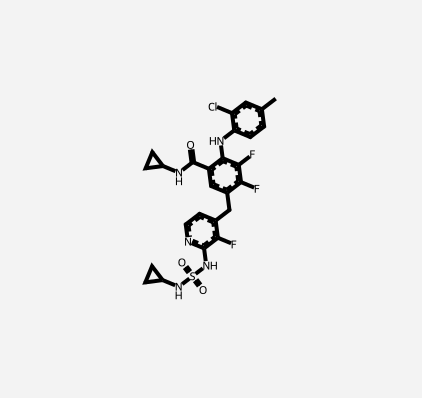 Cc1ccc(Nc2c(C(=O)NC3CC3)cc(Cc3ccnc(NS(=O)(=O)NC4CC4)c3F)c(F)c2F)c(Cl)c1